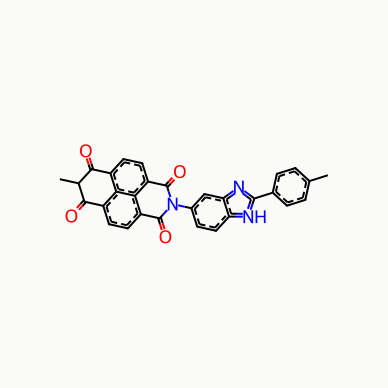 Cc1ccc(-c2nc3cc(N4C(=O)c5ccc6c7c(ccc(c57)C4=O)C(=O)C(C)C6=O)ccc3[nH]2)cc1